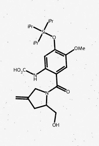 C=C1CC(CO)N(C(=O)c2cc(OC)c(O[Si](C(C)C)(C(C)C)C(C)C)cc2NC(=O)O)C1